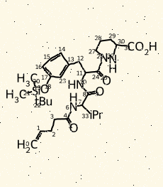 C=CCCC(=O)NC(C(=O)NC(Cc1cccc(O[Si](C)(C)C(C)(C)C)c1)C(=O)N1CCCC(C(=O)O)N1)C(C)C